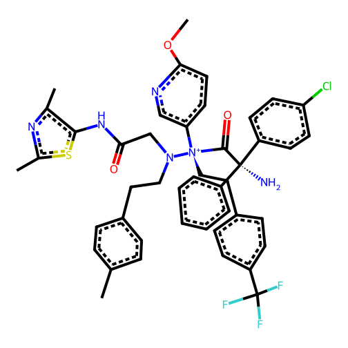 COc1ccc([N@+](CCc2ccc(C(F)(F)F)cc2)(C(=O)[C@](N)(c2ccccc2)c2ccc(Cl)cc2)N(CCc2ccc(C)cc2)CC(=O)Nc2sc(C)nc2C)cn1